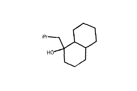 CC(C)CC1(O)CCCC2CCCCC21